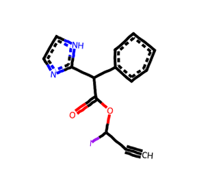 C#CC(I)OC(=O)C(c1ccccc1)c1ncc[nH]1